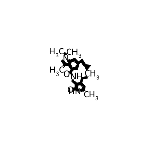 CCCc1cc(C)[nH]c(=O)c1CNC(=O)c1cc(C=C2CC2)cc2c1c(C)cn2C(C)C